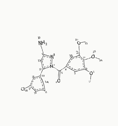 COc1cc(C(=O)n2nc(N)cc2-c2cccc(Cl)c2)cc(OC)c1OC